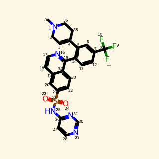 CN1CC=C(c2cc(C(F)(F)F)ccc2-c2nccc3cc(S(=O)(=O)Nc4ccncn4)ccc23)CC1